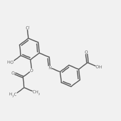 CC(C)C(=O)Oc1c(O)cc(Cl)cc1C=Nc1cccc(C(=O)O)c1